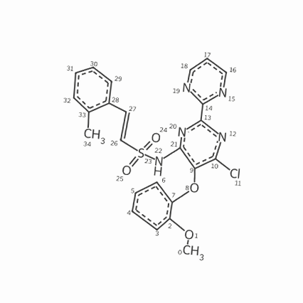 COc1ccccc1Oc1c(Cl)nc(-c2ncccn2)nc1NS(=O)(=O)C=Cc1ccccc1C